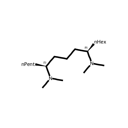 CCCCCC[C@H](CCC[C@H](CCCCC)N(C)C)N(C)C